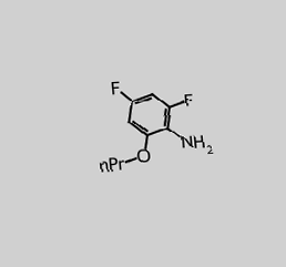 CCCOc1cc(F)cc(F)c1N